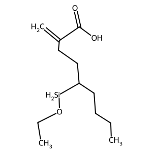 C=C(CCC(CCCC)[SiH2]OCC)C(=O)O